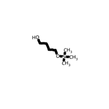 C[Si](C)(C)OCCCCO